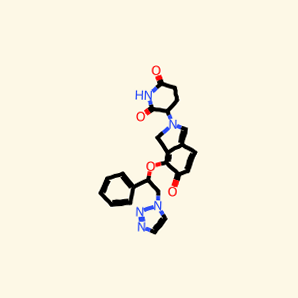 O=C1CCC(N2C=C3C=CC(=O)C(OC(Cn4ccnn4)c4ccccc4)=C3C2)C(=O)N1